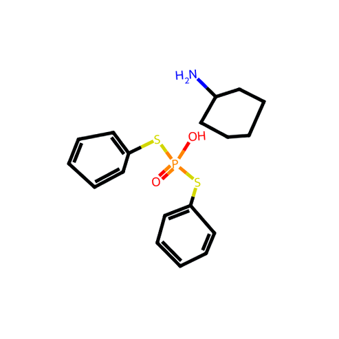 NC1CCCCC1.O=P(O)(Sc1ccccc1)Sc1ccccc1